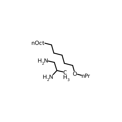 CC(N)CN.CCCCCCCCCCCCCOCCC